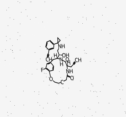 C#CC[C@@H]1NC(=O)CCCCOc2ccc(cc2F)C[C@@H]([C@H](O)CNC2(c3cccc(C#C)c3)CC2)NC1=O